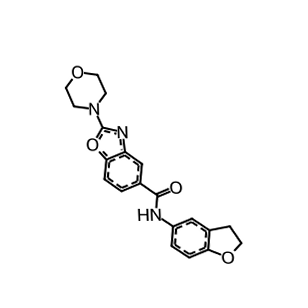 O=C(Nc1ccc2c(c1)CCO2)c1ccc2oc(N3CCOCC3)nc2c1